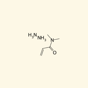 C=CC(=O)N(C)C.N.N